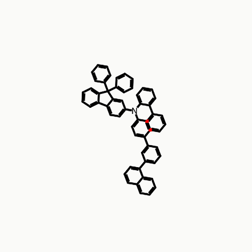 c1ccc(-c2ccccc2N(c2ccc(-c3cccc(-c4cccc5ccccc45)c3)cc2)c2ccc3c(c2)C(c2ccccc2)(c2ccccc2)c2ccccc2-3)cc1